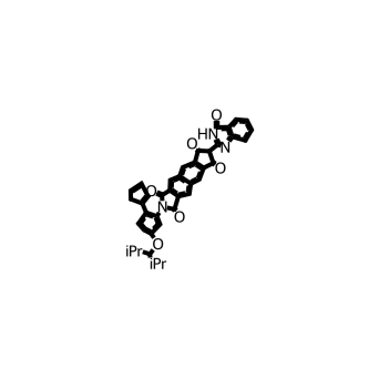 CC(C)C(Oc1ccc(C2=CC=CC2)c(N2C(=O)c3cc4cc5c(cc4cc3C2=O)C(=O)C(c2nc3ccccc3c(=O)[nH]2)C5=O)c1)C(C)C